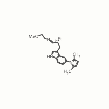 CC[C@@H](C=NCCOC)Cc1c[nH]c2ccc(-n3c(C)ccc3C)cc12